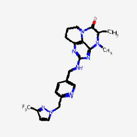 CC1C(=O)N2CCCc3nc(NCc4ccc(Cn5ccc(C(F)(F)F)n5)nc4)nc(c32)N1C